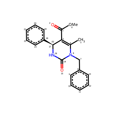 COC(=O)C1=C(C)N(Cc2ccccc2)C(=O)N[C@H]1c1ccccc1